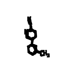 Cc1cccc(-c2ccc(C#N)nc2)c1